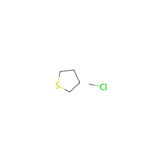 C1CCSC1.CCl